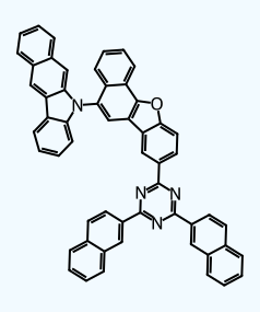 c1ccc2cc(-c3nc(-c4ccc5ccccc5c4)nc(-c4ccc5oc6c7ccccc7c(-n7c8ccccc8c8cc9ccccc9cc87)cc6c5c4)n3)ccc2c1